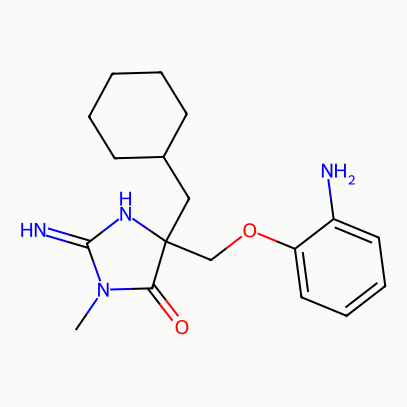 CN1C(=N)NC(COc2ccccc2N)(CC2CCCCC2)C1=O